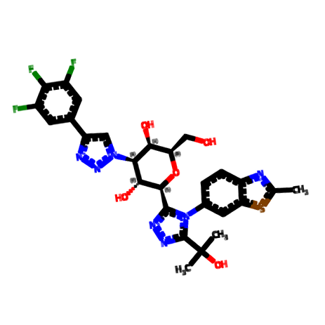 Cc1nc2ccc(-n3c([C@@H]4O[C@H](CO)[C@H](O)[C@H](n5cc(-c6cc(F)c(F)c(F)c6)nn5)[C@H]4O)nnc3C(C)(C)O)cc2s1